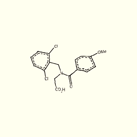 COc1ccc(C(=O)N(CC(=O)O)Cc2c(Cl)cccc2Cl)cc1